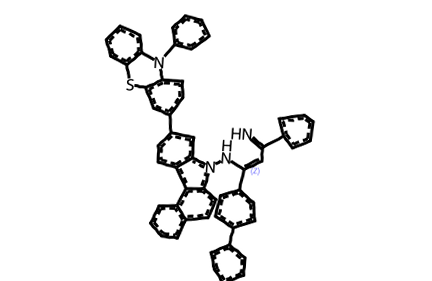 N=C(/C=C(\Nn1c2cc(-c3ccc4c(c3)Sc3ccccc3N4c3ccccc3)ccc2c2c3ccccc3ccc21)c1ccc(-c2ccccc2)cc1)c1ccccc1